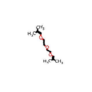 CC(C)=COCCOCCOC=C(C)C